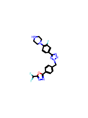 Fc1cc(-c2nnn(Cc3ccc(-c4nnc(C(F)F)o4)cc3)n2)ccc1N1CCNCC1